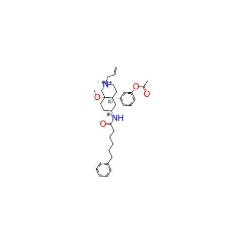 C=CC[N@@+]1(C)CC[C@@]2(c3cccc(OC(C)=O)c3)C[C@H](NC(=O)CCCCCc3ccccc3)CCC2(OC)C1